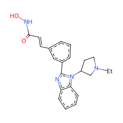 CCN1CCC(n2c(-c3cccc(C=CC(=O)NO)c3)nc3ccccc32)C1